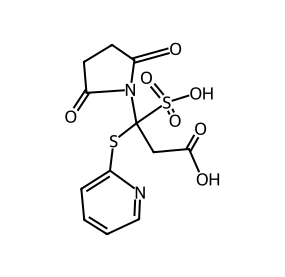 O=C(O)CC(Sc1ccccn1)(N1C(=O)CCC1=O)S(=O)(=O)O